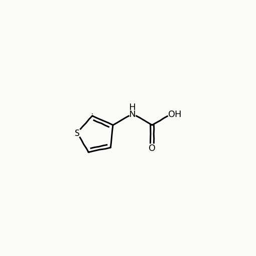 O=C(O)Nc1[c]scc1